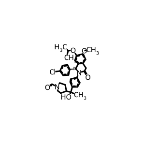 COc1cc2c(cc1OC(C)C)[C@H](c1ccc(Cl)cc1)N(c1ccc(C(C)(O)C3CCN(C=O)CC3)cc1)C(=O)C2